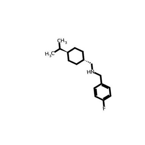 CC(C)[C@H]1CC[C@H](CNCc2ccc(F)cc2)CC1